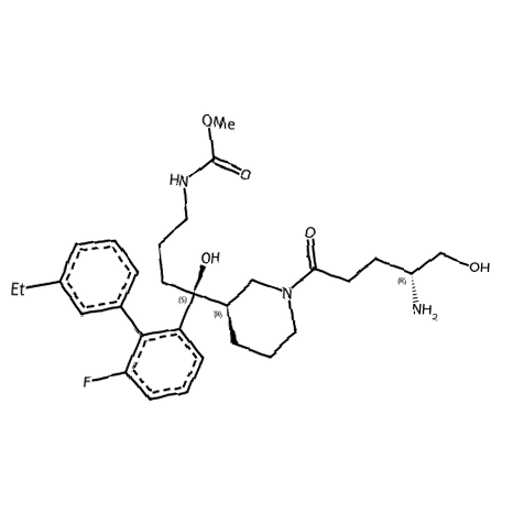 CCc1cccc(-c2c(F)cccc2[C@](O)(CCCNC(=O)OC)[C@@H]2CCCN(C(=O)CC[C@@H](N)CO)C2)c1